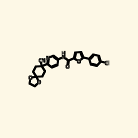 N#CC1(c2ccc(NC(=O)c3ccc(-c4ccc(Cl)cc4)o3)cn2)CCC2(CC1)OCCO2